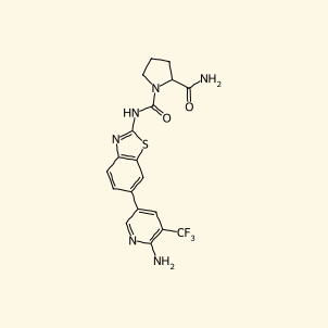 NC(=O)C1CCCN1C(=O)Nc1nc2ccc(-c3cnc(N)c(C(F)(F)F)c3)cc2s1